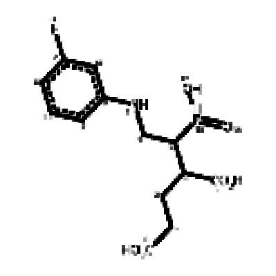 O=C(O)CCC(C(=O)O)C(CNc1cccc(F)c1)[PH](=O)O